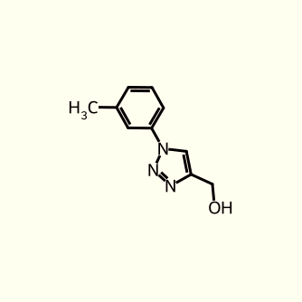 Cc1cccc(-n2cc(CO)nn2)c1